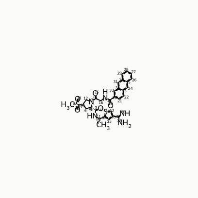 C[C@@H](NC(=O)[C@@H]1C[C@@H](S(C)(=O)=O)CN1C(=O)CNC(=O)c1ccc2cc3ccccc3cc2c1)c1cc(C(=N)N)cs1